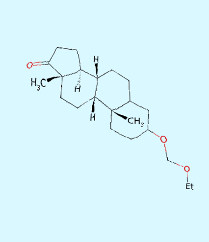 CCOCOC1CC[C@@]2(C)C(CC[C@@H]3[C@H]2CC[C@]2(C)C(=O)CC[C@@H]32)C1